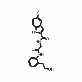 O=C(CNC(=O)c1cc2cc(Cl)ccc2[nH]1)Nc1ccccc1CCO